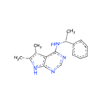 Cc1[nH]c2ncnc(NC(C)c3ccccc3)c2c1C